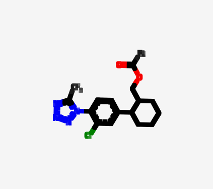 CCC(=O)OCC1CCCCC1c1ccc(-n2nnnc2C(F)(F)F)c(Cl)c1